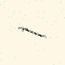 CC(C)OC(=O)NCCCOCCOCCOCCCN